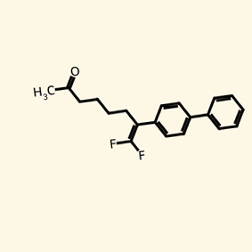 CC(=O)CCCCC(=C(F)F)c1ccc(-c2ccccc2)cc1